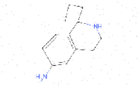 Nc1ccc2c(c1)CCNC21CCC1